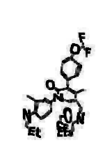 CC/C=N\c1ccc(-n2cc(/C=N\C(=C\CC)OCC(F)(F)F)c(C)c(-c3ccc(OC(F)F)cc3)c2=O)cc1C